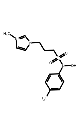 Cc1ccc(N(O)S(=O)(=O)CCCn2cc[n+](C)c2)cc1